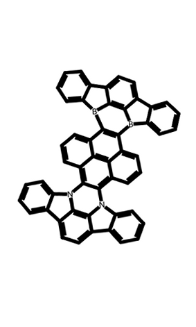 c1ccc2c(c1)B1c3c-2ccc2c3B(c3ccccc3-2)c2c1c1cccc3c1c1c2cccc1c1c3n2c3ccccc3c3ccc4c5ccccc5n1c4c32